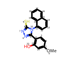 COc1ccc(-c2nnc(S)n2-c2cccc3ccccc23)c(O)c1